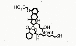 CCCCC[C@H](O)CC[C@@H]1[C@H]2Cc3cccc(OCC(=O)O)c3C[C@H]2C[C@H]1OC(=O)[C@@H]1CCCC[C@@H]1C(=O)NCCCCCCS